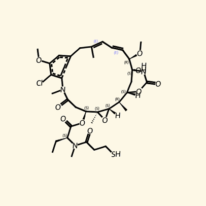 CC[C@@H](C(=O)O[C@H]1CC(=O)N(C)c2cc(cc(OC)c2Cl)C/C(C)=C/C=C/[C@@H](OC)[C@@]2(O)C[C@H](OC(=O)N2)[C@@H](C)[C@@H]2O[C@@]12C)N(C)C(=O)CCS